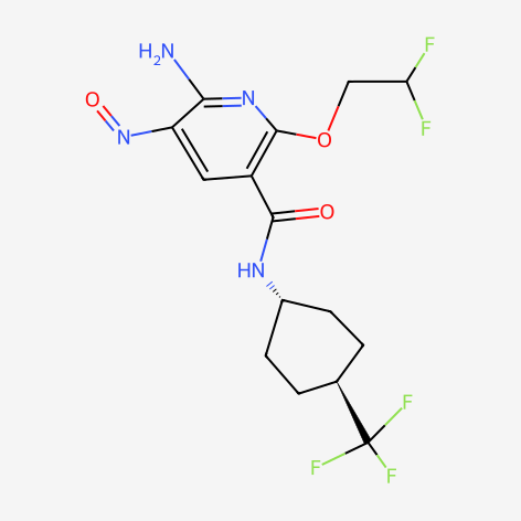 Nc1nc(OCC(F)F)c(C(=O)N[C@H]2CC[C@H](C(F)(F)F)CC2)cc1N=O